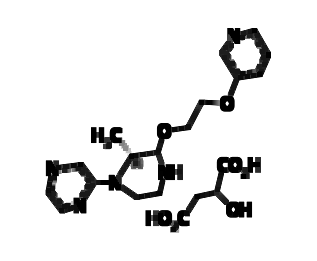 C[C@@H]1C(OCCOc2cccnc2)NCCN1c1cnccn1.O=C(O)CC(O)C(=O)O